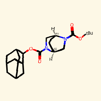 CC(C)(C)OC(=O)N1C[C@@H]2C[C@H]1CN2C(=O)OC1C2CC3CC(C2)CC1C3